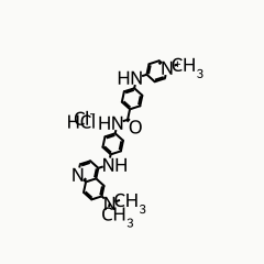 CN(C)c1ccc2nccc(Nc3ccc(NC(=O)c4ccc(Nc5cc[n+](C)cc5)cc4)cc3)c2c1.Cl.[Cl-]